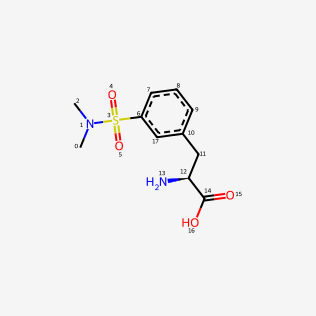 CN(C)S(=O)(=O)c1cccc(C[C@H](N)C(=O)O)c1